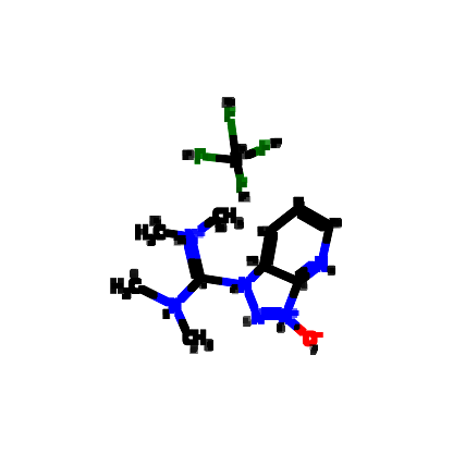 CN(C)C(n1n[n+]([O-])c2ncccc21)=[N+](C)C.F[B-](F)(F)F